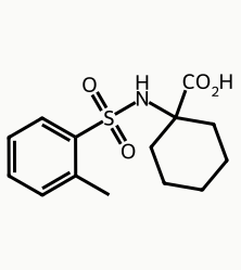 Cc1ccccc1S(=O)(=O)NC1(C(=O)O)CCCCC1